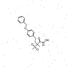 CC(CCc1ccc(OCc2ccccc2)cc1)(C(=O)NO)S(C)(=O)=O